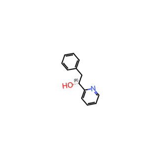 O[C@H](Cc1ccccc1)c1ccccn1